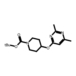 Cc1cc(OC2CCN(C(=O)OC(C)(C)C)CC2)nc(C)n1